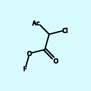 CC(=O)C(Cl)C(=O)OF